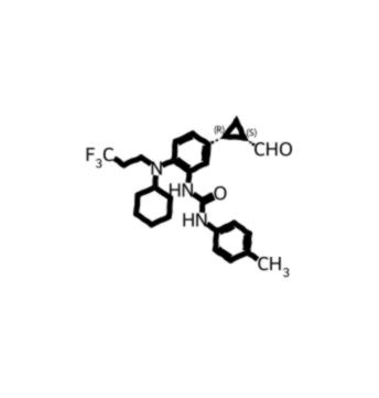 Cc1ccc(NC(=O)Nc2cc([C@@H]3C[C@@H]3C=O)ccc2N(CCC(F)(F)F)C2CCCCC2)cc1